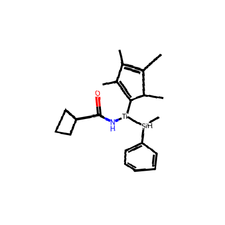 CC1=C(C)C(C)[C]([Ti]([NH]C(=O)C2CCC2)[SiH](C)c2ccccc2)=C1C